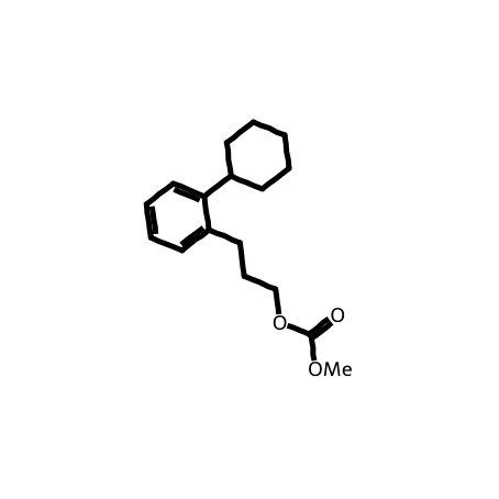 COC(=O)OCCCc1ccccc1C1CCCCC1